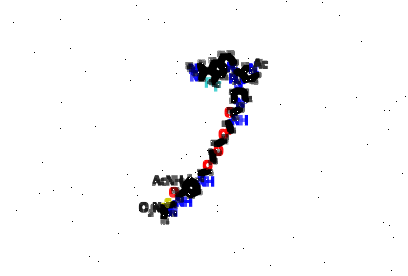 CC(=O)Nc1cc(NCCOCCOCCOCCNC(=O)CN2CCC(n3nc(N4CCCc5cc(-c6cnn(C)c6)c(C(F)F)cc54)c4c3CCN(C(C)=O)C4)CC2)ccc1C(=O)Nc1nc(C)c([N+](=O)[O-])s1